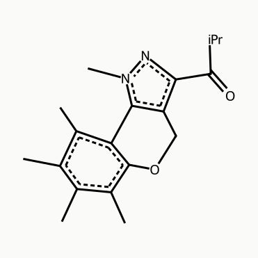 Cc1c(C)c(C)c2c(c1C)OCc1c(C(=O)C(C)C)nn(C)c1-2